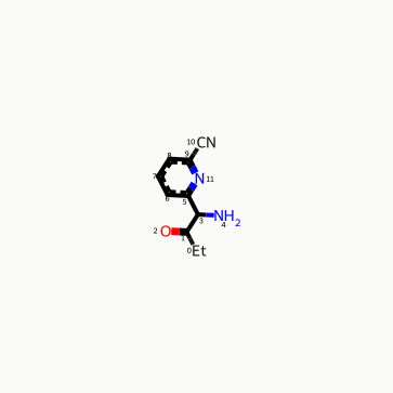 CCC(=O)C(N)c1cccc(C#N)n1